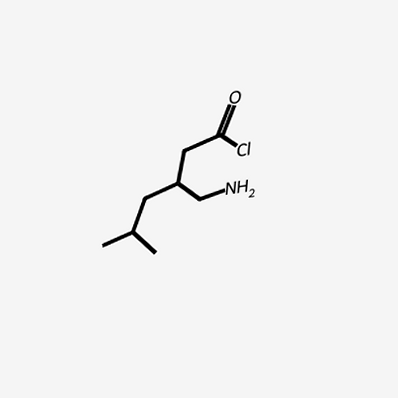 CC(C)CC(CN)CC(=O)Cl